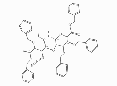 CCO[C@@H](OC1C(OCc2ccccc2)[C@H](OCc2ccccc2)C(C(=O)OCc2ccccc2)O[C@H]1OC)C(N=[N+]=[N-])C(OCc1ccccc1)[C@H](C)OCc1ccccc1